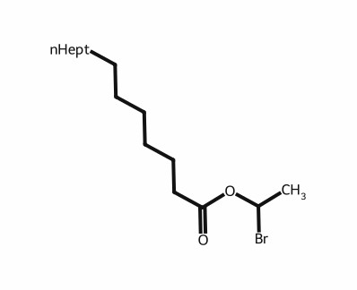 CCCCCCCCCCCCCC(=O)OC(C)Br